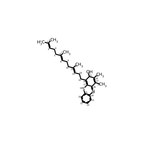 CC(C)=CCC/C(C)=C/CC/C(C)=C/CCC1=C2Sc3ccccc3N=C2C(C)=C(C)C1O